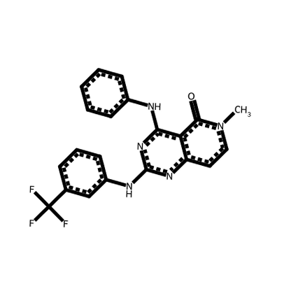 Cn1ccc2nc(Nc3cccc(C(F)(F)F)c3)nc(Nc3ccccc3)c2c1=O